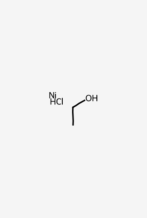 CCO.Cl.[Ni]